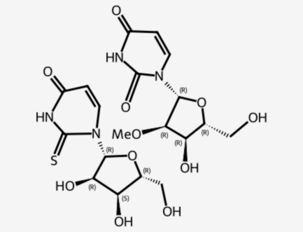 CO[C@@H]1[C@H](O)[C@@H](CO)O[C@H]1n1ccc(=O)[nH]c1=O.O=c1ccn([C@@H]2O[C@H](CO)[C@@H](O)[C@H]2O)c(=S)[nH]1